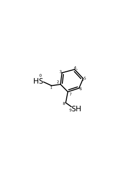 SCc1c[c][c]cc1CS